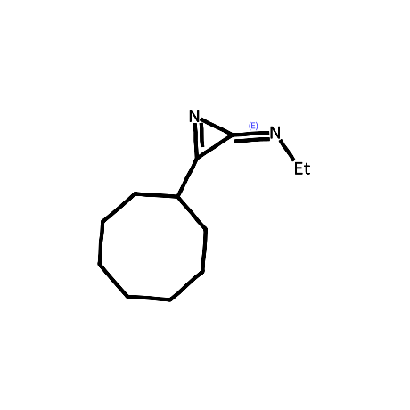 CC/N=c1/nc1C1CCCCCCC1